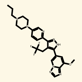 CCCN1CCN(c2ccc(-c3n[nH]c(-c4cc(OC)c5ncnn5c4)c3CC(F)(F)F)nc2)CC1